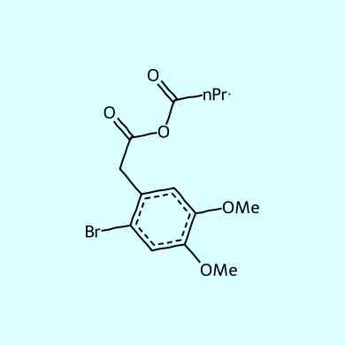 CC[CH]C(=O)OC(=O)Cc1cc(OC)c(OC)cc1Br